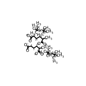 CC(CCCC(=O)[O-])C(=O)[O-].CC(CCCC(=O)[O-])C(=O)[O-].C[C](C)(C)[Sn+2][C](C)(C)C.C[C](C)(C)[Sn+2][C](C)(C)C